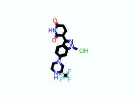 Cl.Cn1nc(C2CCC(=O)NC2=O)c2ccc(N3CCN[C@@H](C(F)(F)F)C3)cc21